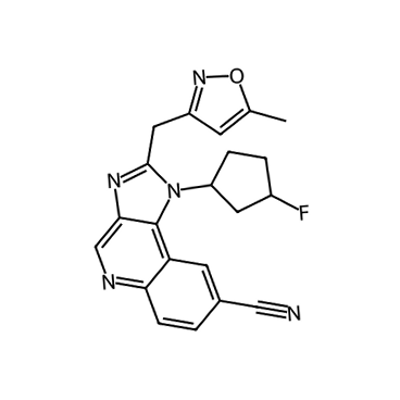 Cc1cc(Cc2nc3cnc4ccc(C#N)cc4c3n2C2CCC(F)C2)no1